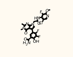 COc1ncc(Cl)c(NC(=O)Cn2cc(-c3cc(C(N)=O)c(O)c(F)c3F)c3c(=O)n(C)c(C)nc32)c1F